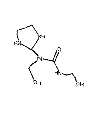 O=C(NCO)N(CO)C1NCCN1